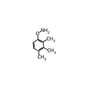 Cc1ccc(ON)c(C)c1C